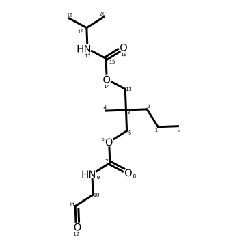 CCCC(C)(COC(=O)NCC=O)COC(=O)NC(C)C